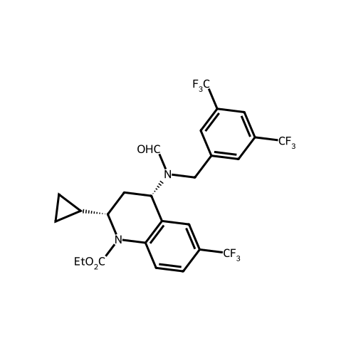 CCOC(=O)N1c2ccc(C(F)(F)F)cc2[C@@H](N(C=O)Cc2cc(C(F)(F)F)cc(C(F)(F)F)c2)C[C@H]1C1CC1